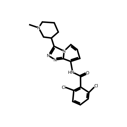 CN1CCCC(c2nnc3c(NC(=O)c4c(Cl)cccc4Cl)cccn23)C1